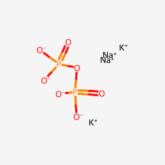 O=P([O-])([O-])OP(=O)([O-])[O-].[K+].[K+].[Na+].[Na+]